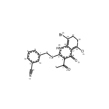 CC(=O)c1c(SCc2cccc(C#N)c2)[nH]c2c(c1=O)=C(Cl)CCC=2Br